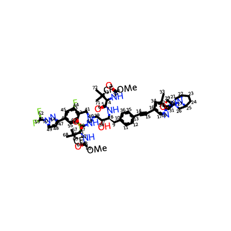 COC(=O)NC(C(=O)N[C@@H](Cc1ccc(C#Cc2cnc(N3CC4CCC(C3)N4C3COC3)c(C)c2)cc1)[C@@H](O)CN(Cc1c(F)cc(-c2ccn(C(F)F)n2)cc1F)NC(=O)[C@@H](NC(=O)OC)C(C)(C)C(F)(F)F)C(C)(C)C(F)(F)F